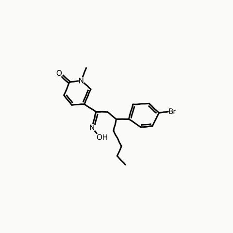 CCCCC(CC(=NO)c1ccc(=O)n(C)c1)c1ccc(Br)cc1